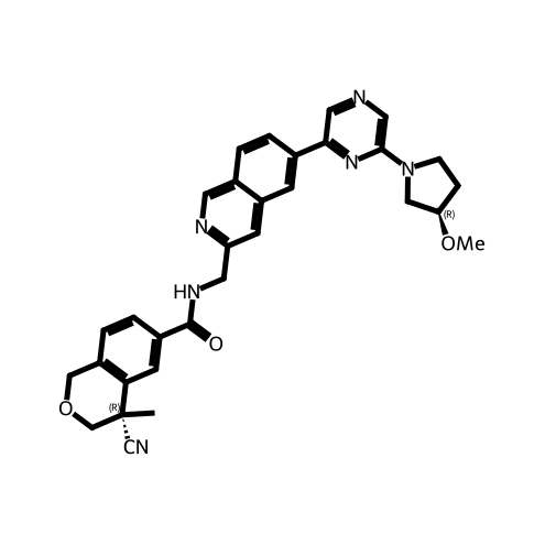 CO[C@@H]1CCN(c2cncc(-c3ccc4cnc(CNC(=O)c5ccc6c(c5)[C@](C)(C#N)COC6)cc4c3)n2)C1